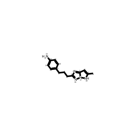 Cc1cc2nc(CCCc3ccc(N)cc3)nn2[nH]1